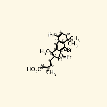 CC(C=CC(F)=C(C)c1cc2c(c(Br)c1OC(C)C)C(C)(C)CC=C2C(C)C)=CC(=O)O